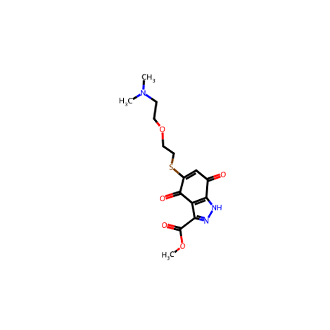 COC(=O)c1n[nH]c2c1C(=O)C(SCCOCCN(C)C)=CC2=O